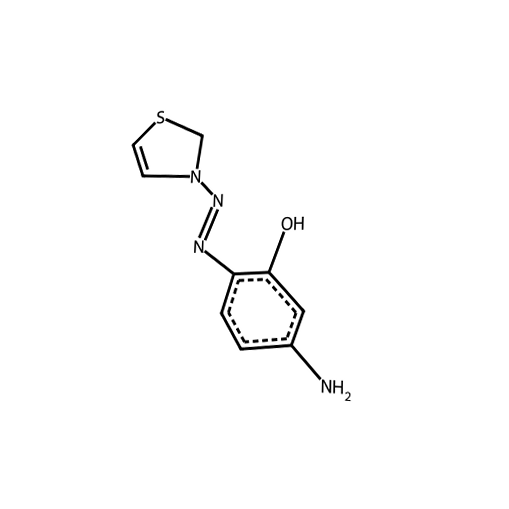 Nc1ccc(N=NN2C=CSC2)c(O)c1